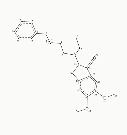 CCC(CCNCc1ccccc1)C1Cc2cc(OC)c(OC)cc2C1=O